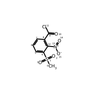 CS(=O)(=O)c1cccc(C(=O)Cl)c1[N+](=O)[O-]